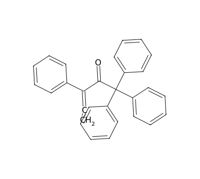 C=C=C(C(=O)C(c1ccccc1)(c1ccccc1)c1ccccc1)c1ccccc1